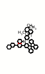 CC1(C)CCC(C)(C)c2c(-c3ccc(N(c4ccccc4)c4cc5c(cc4-c4ccc(-c6ccc7c(c6)CCCC7)cc4)-c4ccccc4C54c5ccccc5-c5ccccc54)cc3)cccc21